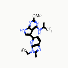 COc1nc(NC(C)C(F)(F)F)c2c(-c3ccc4nc(C)n(CC(C)C)c4n3)c[nH]c2n1